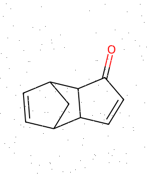 O=C1C=CC2C3C=CC(C3)C12